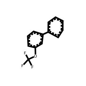 FC(F)(F)Oc1cccc(-c2cc[c]cc2)c1